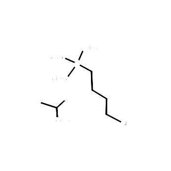 CCC(CC)C(=O)[O-].CCCCCCCCCCCCCC[P+](CCCCCC)(CCCCCC)CCCCCC